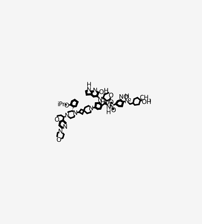 CC(C)Oc1ccccc1[C@H]1CN([C@@H]2CCOc3cc(N4CCOCC4)ncc32)CCN1C1CC2(CCN(c3ccc(C(=O)NS(=O)(=O)c4ccc(NCC5CCC(C)(O)CC5)c([N+](=O)[O-])c4)c(N4c5cc6cc[nH]c6nc5O[C@H]5COCC[C@@H]54)c3)CC2)C1